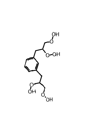 OOCC(Cc1cccc(CC(COO)OO)c1)OO